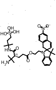 CC(C)(CC[Si](O)(O)O)NC(=O)[C@@H](CCC(=O)OCCN1c2ccccc2C(C)(C)C12C=Cc1cc([N+](=O)[O-])ccc1C2)C(C)(C)N